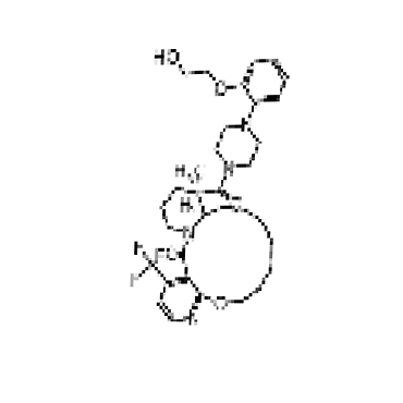 C[C@@]1(C(=O)N2CCN(c3ccccc3OCCO)CC2)CCCN2C(=O)c3c(C(F)(F)F)ccnc3OCCCCCCC[C@@H]21